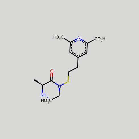 C[C@H](N)C(=O)N(CC(=O)O)SCCc1cc(C(=O)O)nc(C(=O)O)c1